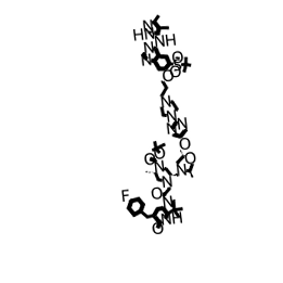 Cc1n[nH]c(Nc2ncnc3cc(OCCCN4CCN(c5ncc(OC[C@H]6CN(C[C@H]7CN(C(=O)OC(C)(C)C)[C@@H](C)CN7CC(=O)N7CC(C)(C)c8[nH]c(=O)c(Cc9ccc(F)cc9)cc87)[C@H](C)CO6)cn5)CC4)c(S(=O)(=O)C(C)(C)C)cc23)c1C